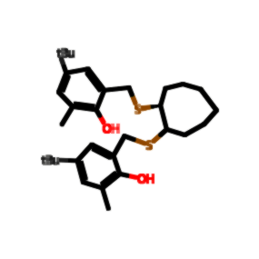 Cc1cc(C(C)(C)C)cc(CSC2CCCCCC[C@@H]2SCc2cc(C(C)(C)C)cc(C)c2O)c1O